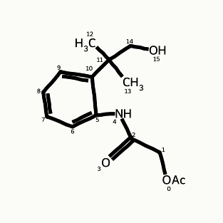 CC(=O)OCC(=O)Nc1ccccc1C(C)(C)CO